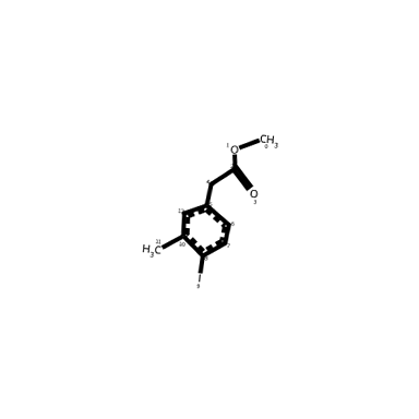 COC(=O)Cc1ccc(I)c(C)c1